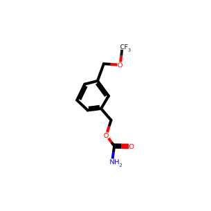 NC(=O)OCc1cccc(COC(F)(F)F)c1